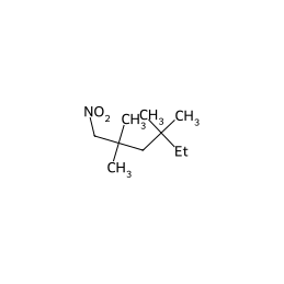 CCC(C)(C)CC(C)(C)C[N+](=O)[O-]